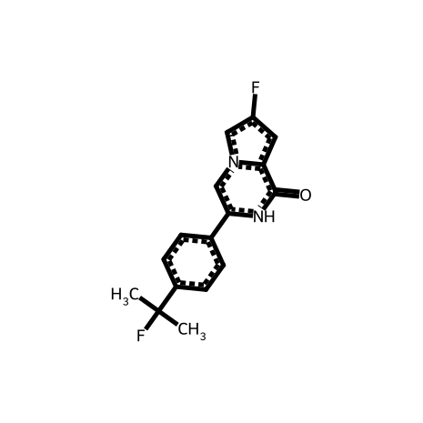 CC(C)(F)c1ccc(-c2cn3cc(F)cc3c(=O)[nH]2)cc1